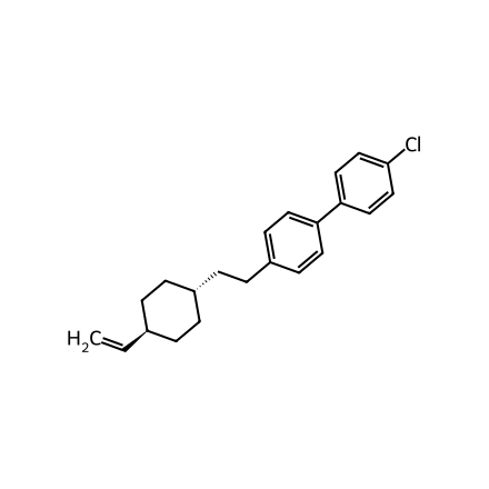 C=C[C@H]1CC[C@H](CCc2ccc(-c3ccc(Cl)cc3)cc2)CC1